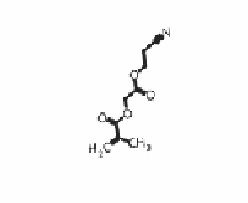 C=C(C)C(=O)OCC(=O)OCCC#N